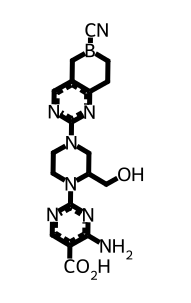 N#CB1CCc2nc(N3CCN(c4ncc(C(=O)O)c(N)n4)C(CO)C3)ncc2C1